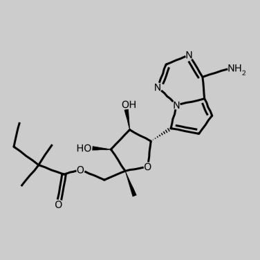 CCC(C)(C)C(=O)OC[C@@]1(C)O[C@@H](c2ccc3c(N)ncnn23)[C@H](O)[C@@H]1O